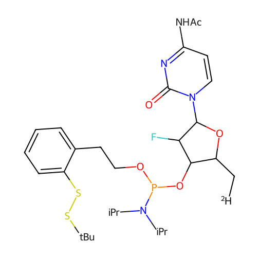 [2H]CC1OC(n2ccc(NC(C)=O)nc2=O)C(F)C1OP(OCCc1ccccc1SSC(C)(C)C)N(C(C)C)C(C)C